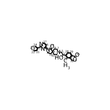 Cc1c(C(O)CN2CCC3(CC2)CCN(c2ccnc(-c4ccoc4)n2)C3=O)ccc2c1COC2=O